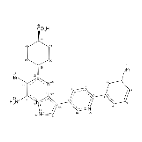 CC(C)C1C=CC=C(c2ccc(-c3cnn4c(N)c(Br)c([C@H]5CC[C@H](C(=O)O)CC5)nc34)cn2)C1